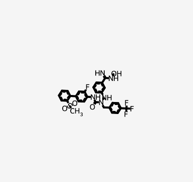 CS(=O)(=O)c1ccccc1-c1ccc(NC(=O)N(Cc2ccc(C(F)(F)F)cc2)Nc2cccc(C(=N)NO)c2)c(F)c1